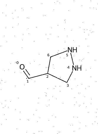 O=[C]C1CNNC1